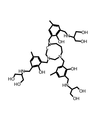 Cc1cc(CNC(CO)CO)c(O)c(CN2CCCN(Cc3cc(C)cc(CNC(CO)CO)c3O)CN(Cc3cc(C)cc(CNC(CO)CO)c3O)CC2)c1